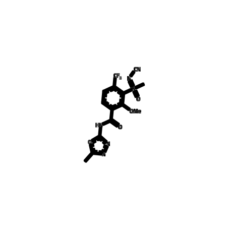 COc1c(C(=O)Nc2nnc(C)o2)ccc(C(F)(F)F)c1S(C)(=O)=NC#N